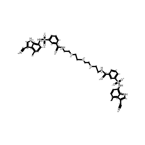 Cc1ccc(NS(=O)(=O)c2cccc(C(=O)NCCOCCOCCOCCNC(=O)c3cccc(S(=O)(=O)Nc4ccc(C)c5c(C#N)c[nH]c45)c3)c2)c2[nH]cc(C#N)c12